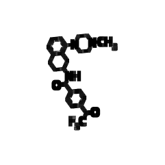 CN1CCN(c2cccc3c2CC(NC(=O)c2ccc(C(=O)C(F)(F)F)cc2)CC3)CC1